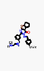 CCN(CC)CCN(C)Cc1cccc(-c2nc3sc4c(c3c(=O)n2N=Cc2ccc(OC)cc2)CCCC4)c1